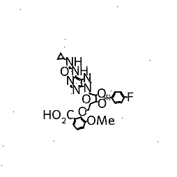 COc1cccc(C(=O)O)c1OCC1OC(n2cnc3c(NC(=O)NC4CC4)ncnc32)C2O[C@@H](c3ccc(F)cc3)OC12